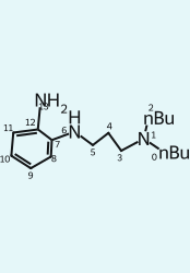 CCCCN(CCCC)CCCNc1ccccc1N